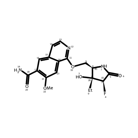 CC[C@]1(O)[C@H](F)C(=O)N[C@@H]1COc1nccc2cc(C(N)=O)c(OC)cc12